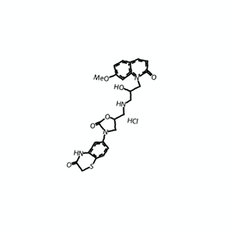 COc1ccc2ccc(=O)n(CC(O)CNCC3CN(c4ccc5c(c4)NC(=O)CS5)C(=O)O3)c2c1.Cl